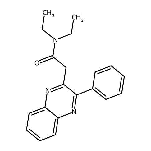 CCN(CC)C(=O)Cc1nc2ccccc2nc1-c1ccccc1